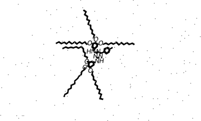 [CH2]c1ccc(-c2nc(Nc3cc(OCCCCCCCCCCCCC)c(OCCCCCCCCCCCCC)c(OCCCCCCCCCCCCC)c3)nc(Nc3cc(OCCCCCCCCCCCCC)c(OCCCCCCCCCCCCC)c(OCCCCCCCCCCCCC)c3)n2)cc1